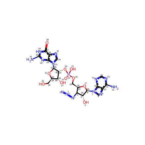 [N-]=[N+]=NC1[C@@H](O)[C@H](n2cnc3c(N)ncnc32)O[C@@H]1COP(=O)(O)O[C@@H]1[C@H](O)[C@@H](CO)O[C@H]1n1cnc2c(=O)[nH]c(N)nc21